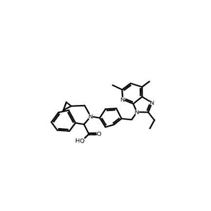 CCc1nc2c(C)cc(C)nc2n1Cc1ccc(N(CC2CC2)C(C(=O)O)c2ccccc2)cc1